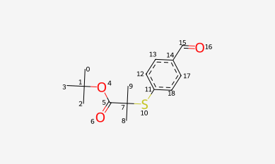 CC(C)(C)OC(=O)C(C)(C)Sc1ccc(C=O)cc1